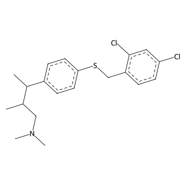 CC(CN(C)C)C(C)c1ccc(SCc2ccc(Cl)cc2Cl)cc1